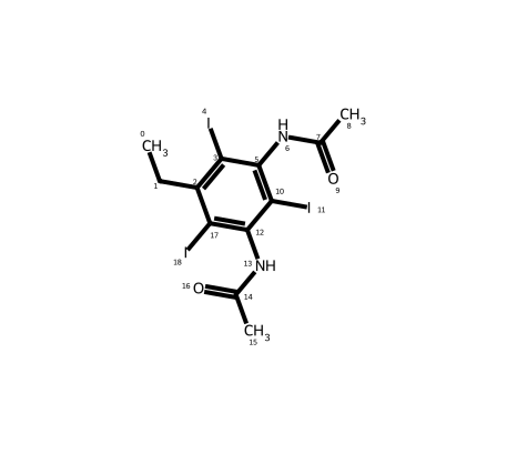 CCc1c(I)c(NC(C)=O)c(I)c(NC(C)=O)c1I